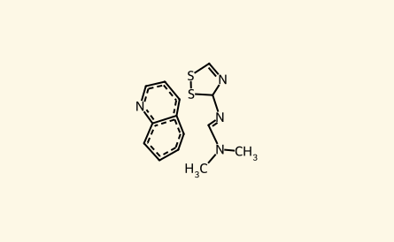 CN(C)C=NC1N=CSS1.c1ccc2ncccc2c1